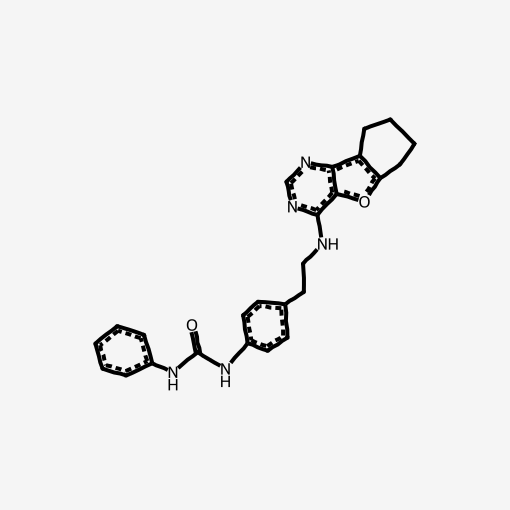 O=C(Nc1ccccc1)Nc1ccc(CCNc2ncnc3c4c(oc23)CCCC4)cc1